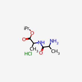 CC(C)OC(=O)C(C)NC(=O)C(C)N.Cl